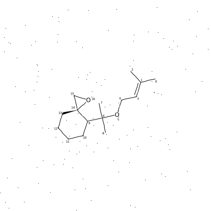 CC(C)=CCOC(C)(C)C1CCCC[C@]12CO2